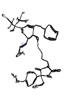 C/C=C/c1cc(C(O)(C(F)(F)F)C(F)(F)F)cc(Cc2ccccc2)c1OCCCCN1C(=O)NC(CC)(c2ccc(OC)cc2)C1=O